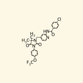 CC1(C)C(=O)N(c2ccc(OC(F)(F)F)cc2)C(=O)N1Cc1ccnc(NC(=O)c2ccc(Cl)cc2)c1